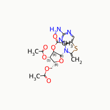 C=C1Sc2cnc(N)nc2N1[C@@H]1O[C@H](COC(C)=O)[C@H](OC(C)=O)[C@H]1OC(C)=O